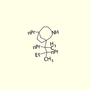 CCCC12CCNCC(C(C)(CCC)C(C)(CC)CCC)(CC1)C2